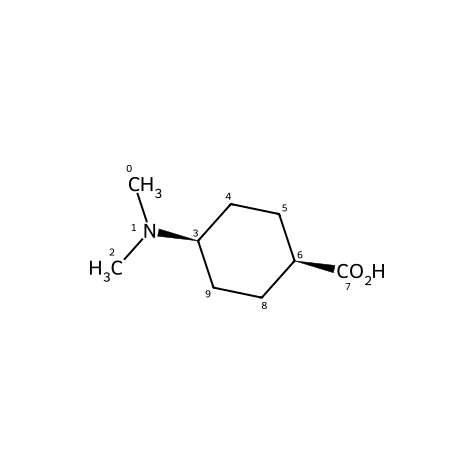 CN(C)[C@H]1CC[C@@H](C(=O)O)CC1